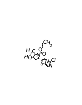 C=CCOC(=O)N1C(C)[C@H](O)C[C@H]1c1cn2c(Cl)ncc2s1